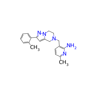 Cc1ccc(CN2CCn3nc(-c4ccccc4C)cc3C2)c(N)n1